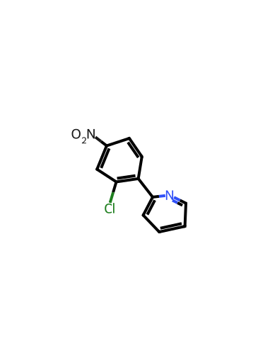 O=[N+]([O-])c1ccc(-c2ccccn2)c(Cl)c1